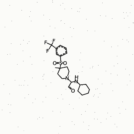 CC1(S(=O)(=O)c2cccc(C(F)(F)F)c2)CCN(C(C=O)NC2CCCCC2)CC1